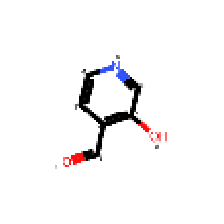 O=[C]c1ccncc1O